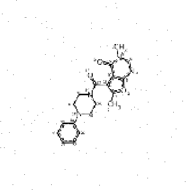 Cc1oc2ncn(C)c(=O)c2c1C(=O)N1CCN(c2ccccc2)CC1